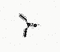 Cc1ccc(NC(=O)Oc2c(C)cc(CSCCC(F)(F)C(F)(F)C(F)(F)C(F)(F)C(F)(F)C(F)(F)F)cc2CSCCC(F)(F)C(F)(F)C(F)(F)C(F)(F)C(F)(F)C(F)(F)F)cc1